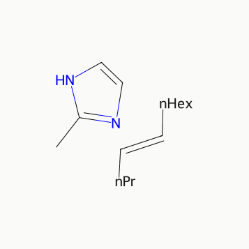 CCCC=CCCCCCC.Cc1ncc[nH]1